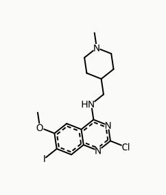 COc1cc2c(NCC3CCN(C)CC3)nc(Cl)nc2cc1I